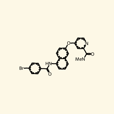 CNC(=O)c1cc(Oc2ccc3c(NC(=O)c4ccc(Br)cc4)cccc3c2)ccn1